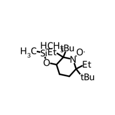 CCC1(C(C)(C)C)CCC(O[SiH](C)C)C(CC)(C(C)(C)C)N1[O]